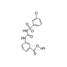 CCCOC(=O)c1cccc(NC(=O)NS(=O)(=O)c2cccc(Cl)c2)c1